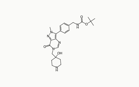 Cn1nc2c(=O)n(CC3(O)CCNCC3)cnc2c1-c1ccc(CNC(=O)OC(C)(C)C)cc1